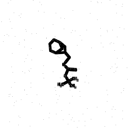 CC(C)(C)OC(=O)OCC1CC2CCCC1C2